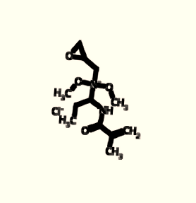 C=C(C)C(=O)NC(CC)[N+](CC1CO1)(OC)OC.[Cl-]